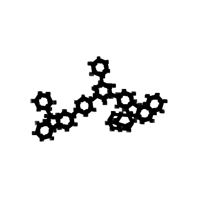 c1ccc(-c2nc(-c3ccc(-c4ccc5c6ccccc6n(-c6ccccc6)c5c4)cc3)nc(-c3ccc4c(c3)C3(c5ccc6ccccc6c5-4)C4CC5CC(C4)CC3C5)n2)cc1